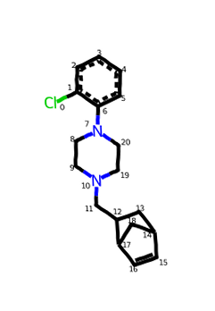 Clc1ccccc1N1CCN(CC2CC3C=CC2C3)CC1